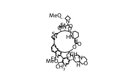 CCO[C@@H]1c2nc(cs2)-c2ccc3c(c2)c(c(-c2cc([C@H]4CCN5CCOC[C@@H]5C4)cnc2[C@H](C)OC)n3CC)CC(C)(C)COC(=O)[C@@H]2CCCN(N2)C(=O)[C@H]1NC(=O)N1CC[C@H]1COC